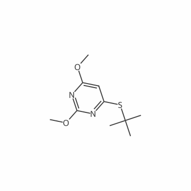 COc1cc(SC(C)(C)C)nc(OC)n1